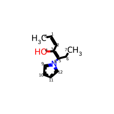 C/C=C\C(O)=C(/CC)n1cccc1